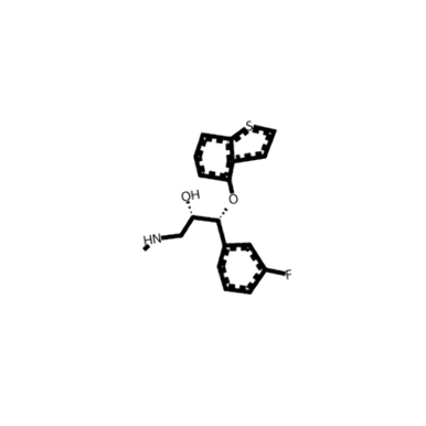 CNC[C@H](O)[C@H](Oc1cccc2sccc12)c1cccc(F)c1